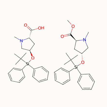 CN1C[C@H](O[Si](c2ccccc2)(c2ccccc2)C(C)(C)C)C[C@H]1C(=O)O.COC(=O)[C@@H]1C[C@@H](O[Si](c2ccccc2)(c2ccccc2)C(C)(C)C)CN1C